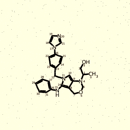 CC(CO)N1COCc2c1cn(Cc1ccc(-n3ccnc3)cc1)c2Nc1ccccc1